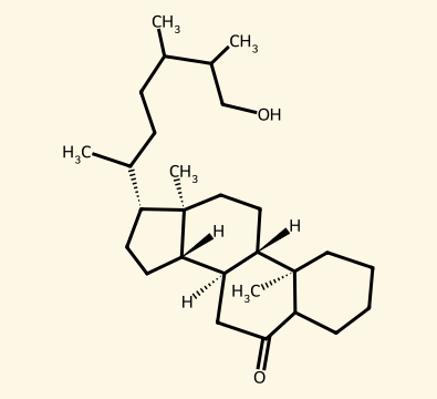 CC(CO)C(C)CCC(C)[C@H]1CC[C@H]2[C@@H]3CC(=O)C4CCCC[C@]4(C)[C@H]3CC[C@]12C